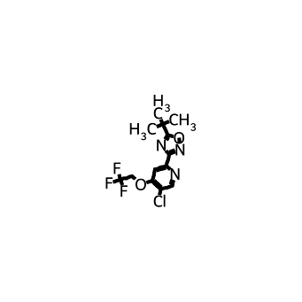 CC(C)(C)c1nc(-c2cc(OCC(F)(F)F)c(Cl)cn2)no1